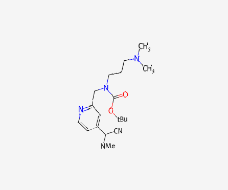 CNC(C#N)c1ccnc(CN(CCCN(C)C)C(=O)OC(C)(C)C)c1